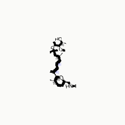 CO[C@H](C(C)OC(C)(C)C[C@H](C)/C=C/C=C(\C)[C@H]1O[C@@H](CNI)CC[C@@H]1C)[C@@H](C)O